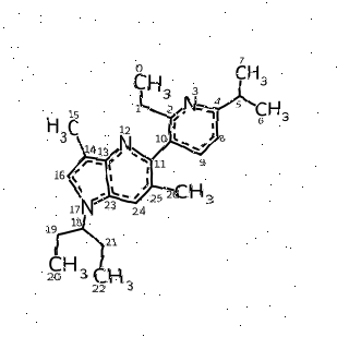 CCc1nc(C(C)C)ccc1-c1nc2c(C)cn(C(CC)CC)c2cc1C